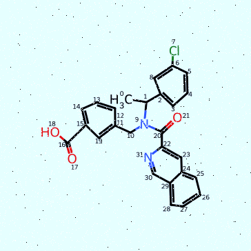 CC(c1cccc(Cl)c1)N(Cc1cccc(C(=O)O)c1)C(=O)c1cc2ccccc2cn1